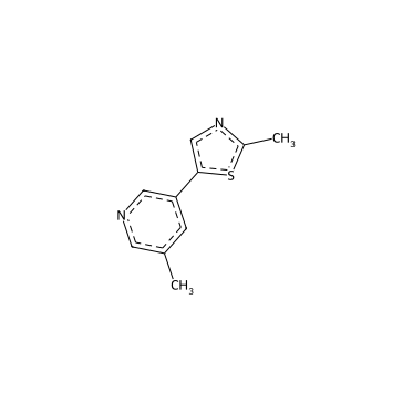 Cc1cncc(-c2cnc(C)s2)c1